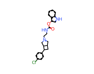 O=C(NCCN1CC2CC(c3ccc(Cl)cc3)C2C1)Oc1c[nH]c2ccccc12